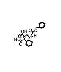 O=C(N[C@H]1CN(C(=O)O)[C@H](C(=O)O)c2ccccc21)OCc1ccccc1